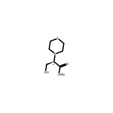 COC(=O)[C@@H](CO)N1CCSCC1